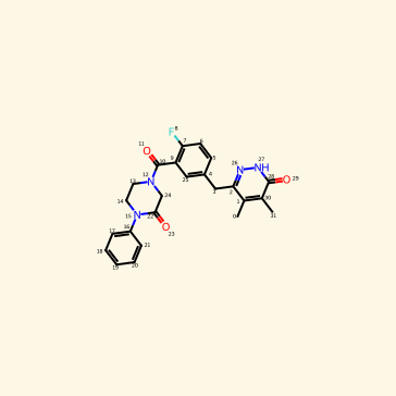 Cc1c(Cc2ccc(F)c(C(=O)N3CCN(c4ccccc4)C(=O)C3)c2)n[nH]c(=O)c1C